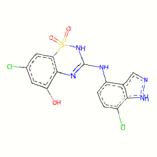 O=S1(=O)NC(Nc2ccc(Cl)c3[nH]ncc23)=Nc2c(O)cc(Cl)cc21